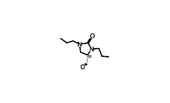 CCCN1C[C@@H](C=O)N(CCC)C1=O